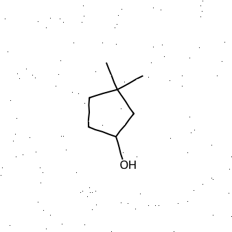 CC1(C)CCC(O)C1